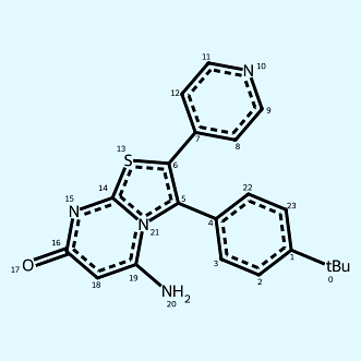 CC(C)(C)c1ccc(-c2c(-c3ccncc3)sc3nc(=O)cc(N)n23)cc1